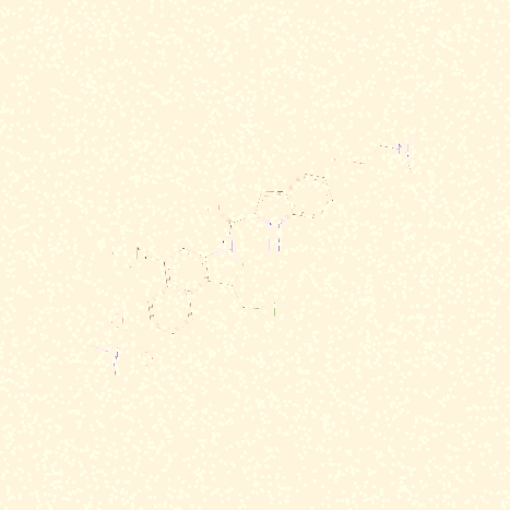 CN(C)CCOc1ccc2[nH]c(C(=O)N3CC(CCl)c4c3cc([N+](=O)[O-])c3cc(S(=O)(=O)N(C)C)ccc43)cc2c1